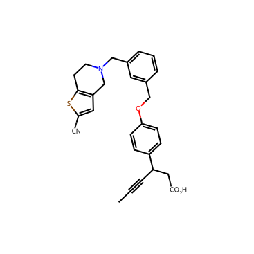 CC#CC(CC(=O)O)c1ccc(OCc2cccc(CN3CCc4sc(C#N)cc4C3)c2)cc1